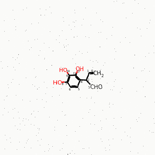 C=CC(C=O)c1ccc(O)c(O)c1O